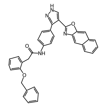 O=C(Cc1ccccc1OCc1ccccc1)Nc1ccc(-c2n[nH]cc2-c2nc3cc4ccccc4cc3o2)cc1